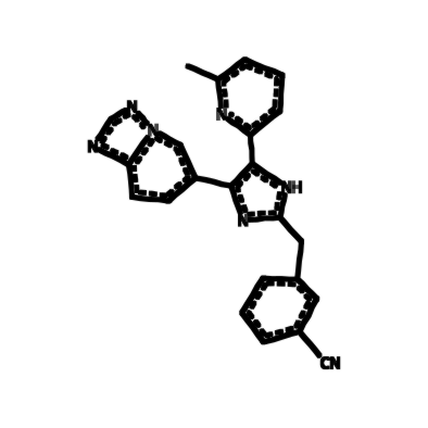 Cc1cccc(-c2[nH]c(Cc3cccc(C#N)c3)nc2-c2ccc3ncnn3c2)n1